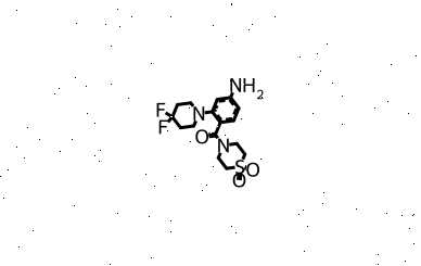 Nc1ccc(C(=O)N2CCS(=O)(=O)CC2)c(N2CCC(F)(F)CC2)c1